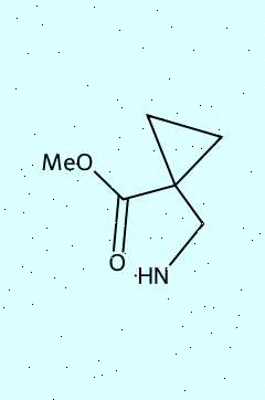 COC(=O)C1(C[NH])CC1